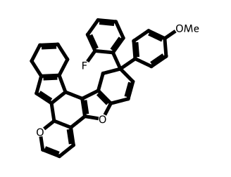 COc1ccc(C2(c3ccccc3F)C=Cc3oc4c(c3C2)C2C(=CC3=C2CC=CC3)C2OC=CC=C42)cc1